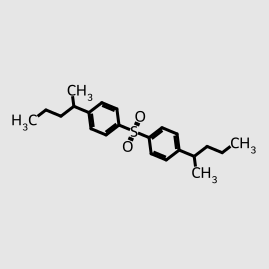 CCCC(C)c1ccc(S(=O)(=O)c2ccc(C(C)CCC)cc2)cc1